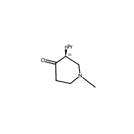 CCC[C@H]1CN(C)CCC1=O